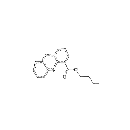 CCCCOC(=O)c1cccc2cc3ccccc3nc12